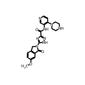 COc1ccc2c(c1)C(=O)N(c1nc(C(=O)Nc3cnccc3N3CCNCC3)n[nH]1)C2